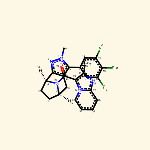 Cn1nc2c(c1-c1cc(F)c(F)c(F)c1)C[C@H]1CC[C@@H]2N1C(=O)c1c(C(F)(F)F)nc2ccccn12